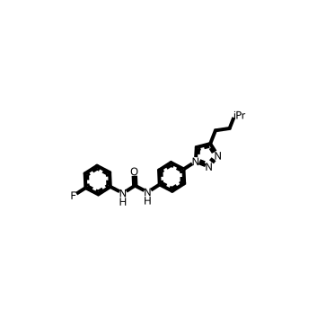 CC(C)CCc1cn(-c2ccc(NC(=O)Nc3cccc(F)c3)cc2)nn1